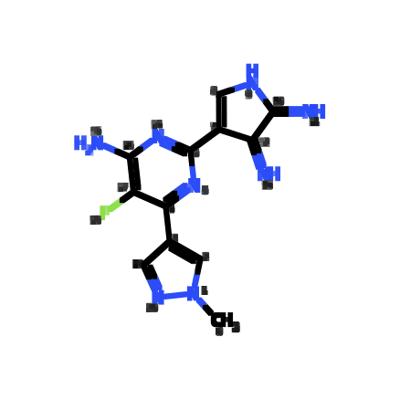 Cn1cc(-c2nc(C3=CNC(=N)C3=N)nc(N)c2F)cn1